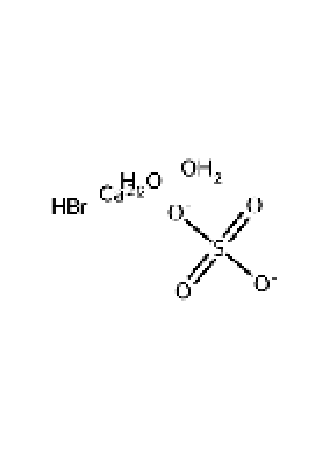 Br.O.O.O=S(=O)([O-])[O-].[Ca+2]